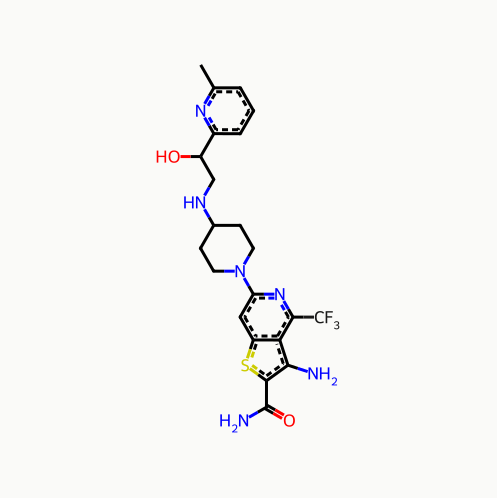 Cc1cccc(C(O)CNC2CCN(c3cc4sc(C(N)=O)c(N)c4c(C(F)(F)F)n3)CC2)n1